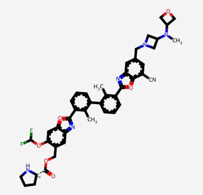 Cc1c(-c2nc3cc(COC(=O)[C@@H]4CCCN4)c(OC(F)F)cc3o2)cccc1-c1cccc(-c2nc3cc(CN4CC(N(C)C5COC5)C4)cc(C#N)c3o2)c1C